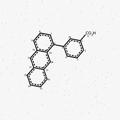 O=C(O)c1cccc(-c2cccc3cc4ccccc4cc23)c1